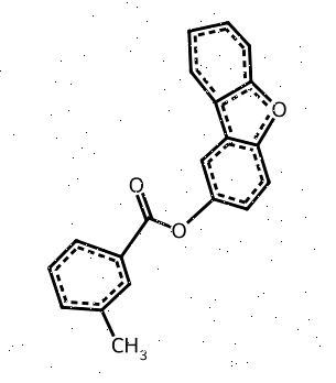 Cc1cccc(C(=O)Oc2ccc3oc4ccccc4c3c2)c1